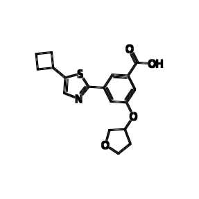 O=C(O)c1cc(OC2CCOC2)cc(-c2ncc(C3CCC3)s2)c1